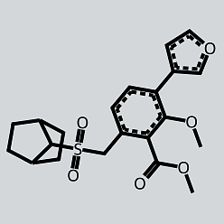 COC(=O)c1c(CS(=O)(=O)C2C3CCC2CC3)ccc(-c2ccoc2)c1OC